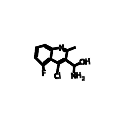 Cc1nc2cccc(F)c2c(Cl)c1C(N)O